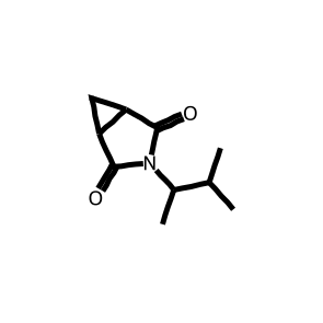 CC(C)C(C)N1C(=O)C2CC2C1=O